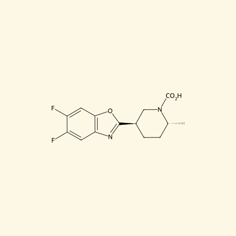 C[C@@H]1CC[C@@H](c2nc3cc(F)c(F)cc3o2)CN1C(=O)O